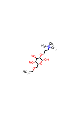 C[N+](C)(C)CCCOC1C(O)OC(COCC(=O)O)C(O)C1O